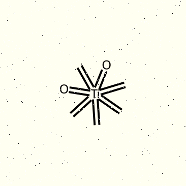 [CH2]=[Ti](=[CH2])(=[CH2])(=[CH2])(=[CH2])(=[O])=[O]